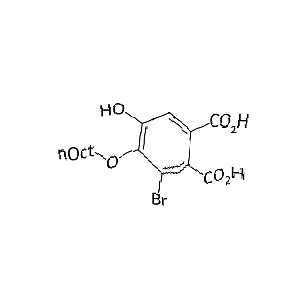 CCCCCCCCOc1c(O)cc(C(=O)O)c(C(=O)O)c1Br